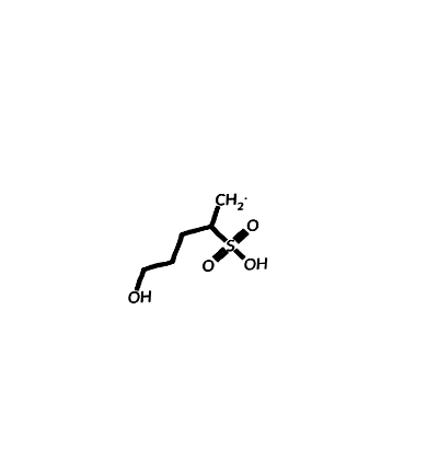 [CH2]C(CCCO)S(=O)(=O)O